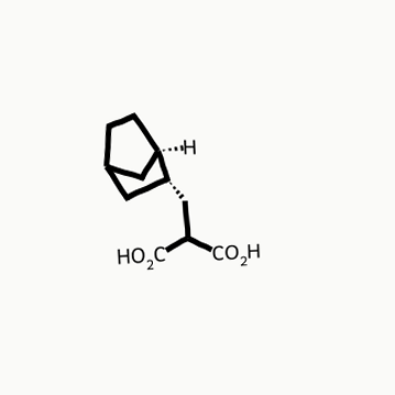 O=C(O)C(C[C@@H]1CC2CC[C@@H]1C2)C(=O)O